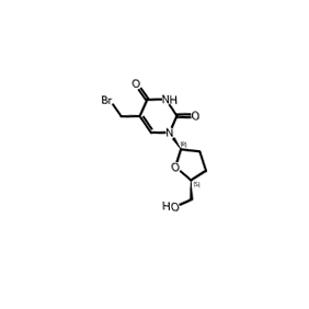 O=c1[nH]c(=O)n([C@H]2CC[C@@H](CO)O2)cc1CBr